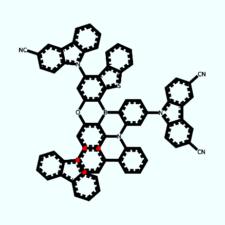 N#Cc1ccc2c(c1)c1cc(C#N)ccc1n2-c1ccc2c(c1)N(c1ccccc1-c1ccccc1)c1cc(-n3c4ccccc4c4ccccc43)cc3c1B2c1c(cc(-n2c4ccccc4c4cc(C#N)ccc42)c2c1sc1ccccc12)O3